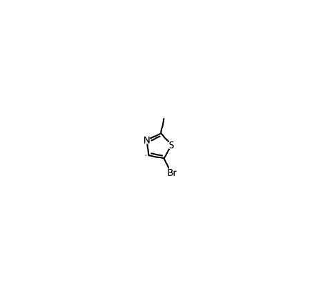 Cc1n[c]c(Br)s1